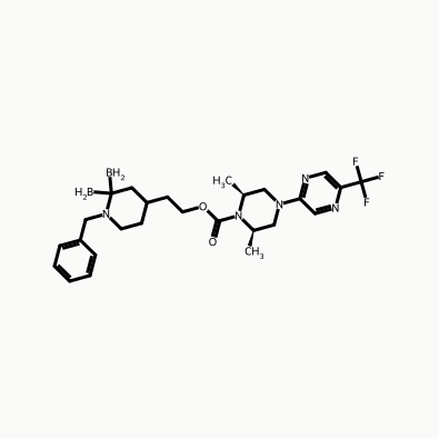 BC1(B)CC(CCOC(=O)N2[C@H](C)CN(c3cnc(C(F)(F)F)cn3)C[C@@H]2C)CCN1Cc1ccccc1